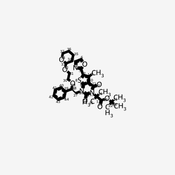 Cc1c(-c2ncco2)sc2c1c(=O)n(C(C)(C)C(=O)OC(C)(C)C)c(=O)n2C[C@H](OCCOC1CCCCO1)c1ccccc1